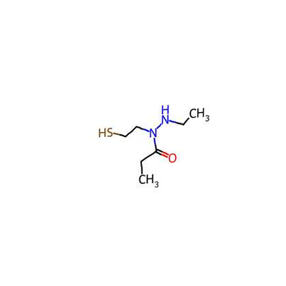 CCNN(CCS)C(=O)CC